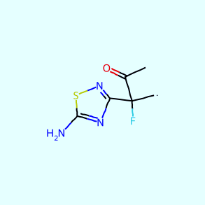 [CH2]C(F)(C(C)=O)c1nsc(N)n1